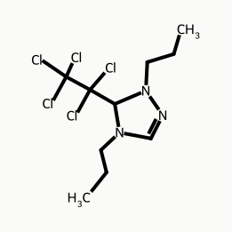 CCCN1C=NN(CCC)C1C(Cl)(Cl)C(Cl)(Cl)Cl